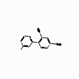 Cc1cccc(-c2ccc(C#N)cc2C#N)c1